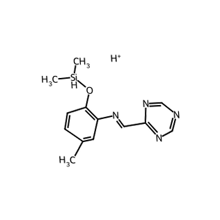 Cc1ccc(O[SiH](C)C)c(N=Cc2ncncn2)c1.[H+]